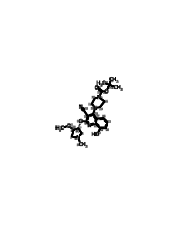 CO[C@@H]1CN(C)C[C@H]1Oc1nc2c(O)cccc2c(N2CCN(C(=O)OC(C)(C)C)CC2)c1C#N